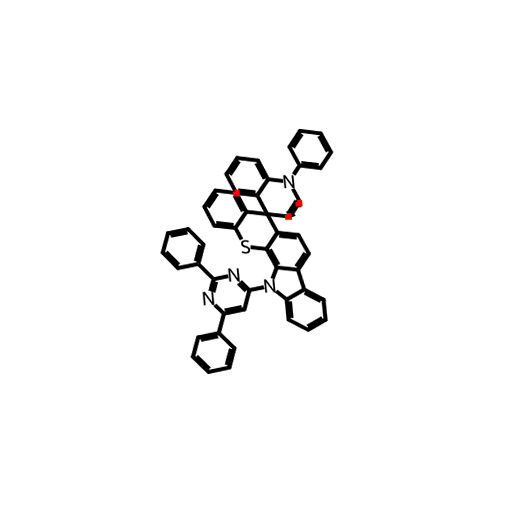 c1ccc(-c2cc(-n3c4ccccc4c4ccc5c(c43)Sc3ccccc3C53c4ccccc4N(c4ccccc4)c4ccccc43)nc(-c3ccccc3)n2)cc1